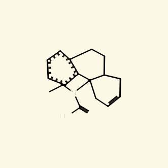 CCN(C(=O)O)C12CC=CCC1CCc1ccccc12